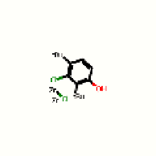 CC(C)(C)c1ccc(O)c(C(C)(C)C)c1Cl.[Cl][Zr].[Zr]